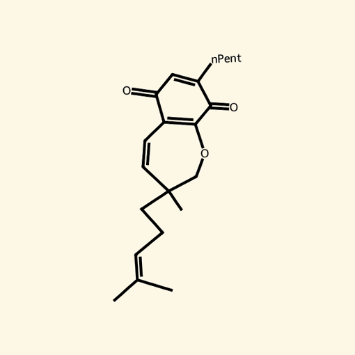 CCCCCC1=CC(=O)C2=C(OCC(C)(CCC=C(C)C)C=C2)C1=O